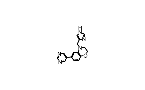 c1ncc(-c2ccc3c(c2)N(Cc2c[nH]cn2)CCO3)cn1